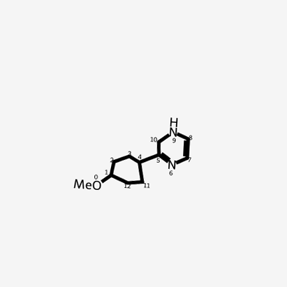 COC1CCC(C2=NC=CNC2)CC1